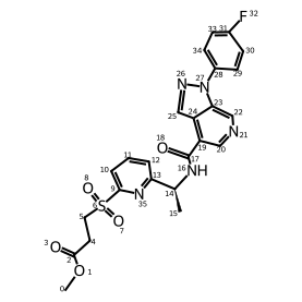 COC(=O)CCS(=O)(=O)c1cccc([C@H](C)NC(=O)c2cncc3c2cnn3-c2ccc(F)cc2)n1